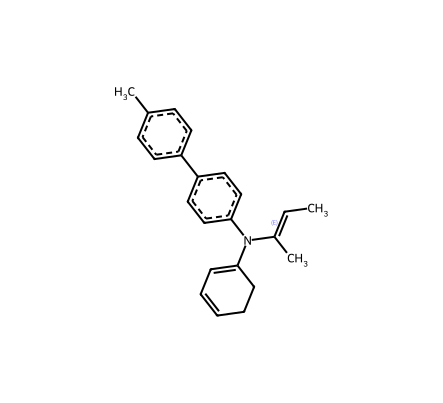 C/C=C(\C)N(C1=CC=CCC1)c1ccc(-c2ccc(C)cc2)cc1